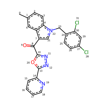 Cc1ccc2c(c1)c(C(=O)c1nnc(-c3ccccn3)o1)cn2Cc1ccc(Cl)cc1Cl